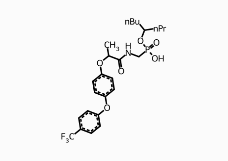 CCCCC(CCC)OP(=O)(O)CNC(=O)C(C)Oc1ccc(Oc2ccc(C(F)(F)F)cc2)cc1